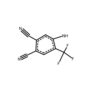 N#Cc1cc([NH])c(C(F)(F)F)cc1C#N